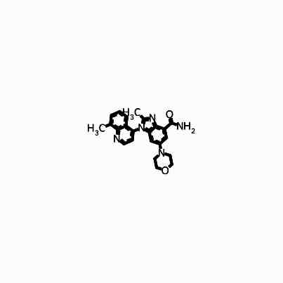 Cc1cccc2c(-n3c(C)nc4c(C(N)=O)cc(N5CCOCC5)cc43)ccnc12